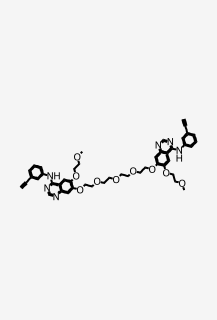 C#Cc1cccc(Nc2ncnc3cc(OCCOCCOCCOCCOc4cc5ncnc(Nc6cccc(C#C)c6)c5cc4OCCOC)c(OCCOC)cc23)c1